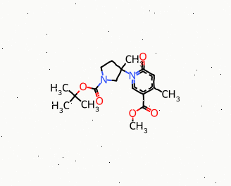 COC(=O)c1cn(C2(C)CCN(C(=O)OC(C)(C)C)C2)c(=O)cc1C